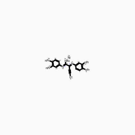 CCC#CC(=N\c1ccc(CCC)c(CCC)c1)/C(CCCC)=N/c1ccc(CCC)c(CCC)c1.[Ni]